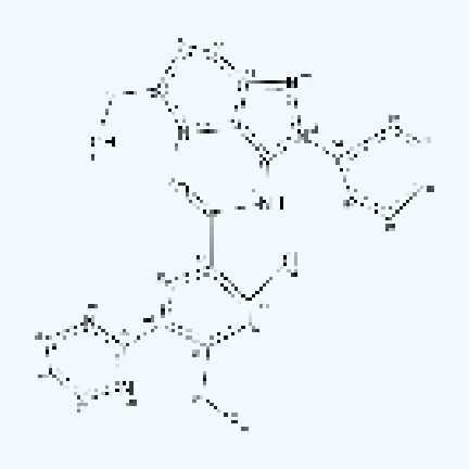 O=C(Nc1c2nc(CO)ccc2nn1-c1ccccc1)c1cc(-c2ncccn2)c(CF)cc1Cl